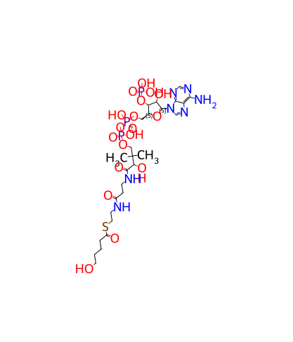 CC(C)(COP(=O)(O)OP(=O)(O)OC[C@@H]1O[C@H](n2cnc3c(N)ncnc32)C(O)C1OP(=O)(O)O)C(O)C(=O)NCCC(=O)NCCSC(=O)CCCCO